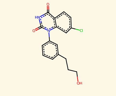 O=c1[nH]c(=O)n(-c2cccc(CCCO)c2)c2cc(Cl)ccc12